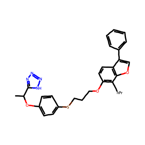 CCCc1c(OCCCSc2ccc(OC(C)c3nnn[nH]3)cc2)ccc2c(-c3ccccc3)coc12